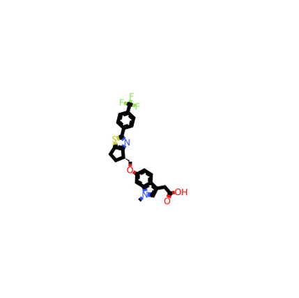 Cn1cc(CC(=O)O)c2ccc(OC[C@@H]3CCc4sc(-c5ccc(C(F)(F)F)cc5)nc43)cc21